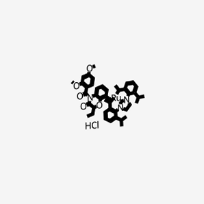 CCC1Oc2c(/[CH]=[Ru]/[CH]3N(c4c(C(C)C)cccc4C(C)C)CCN3c3c(C(C)C)cccc3C(C)C)cccc2N(C(=O)c2ccc(OC)cc2OC)C1=O.Cl